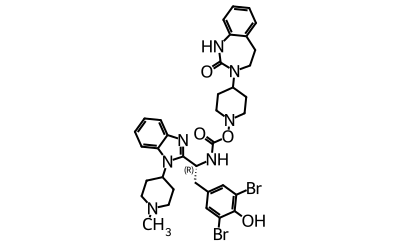 CN1CCC(n2c([C@@H](Cc3cc(Br)c(O)c(Br)c3)NC(=O)ON3CCC(N4CCc5ccccc5NC4=O)CC3)nc3ccccc32)CC1